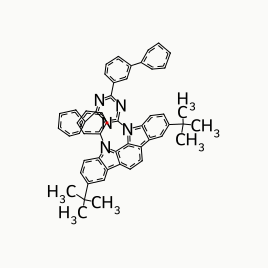 CC(C)(C)c1ccc2c(c1)c1ccc3c4cc(C(C)(C)C)ccc4n(-c4nc(-c5ccccc5)nc(-c5cccc(-c6ccccc6)c5)n4)c3c1n2-c1ccccc1